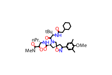 CCC[C@H](NC(=O)[C@@H]1C[C@]2(CC(c3cc(C)c(OC)c(C)c3)=NO2)CN1C(=O)[C@@H](NC(=O)CC1CCCCC1)C(C)(C)C)C(=O)C(=O)NC